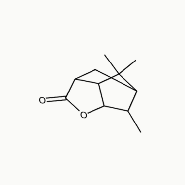 CC1C2OC(=O)C3CC1C(C)(C)C32